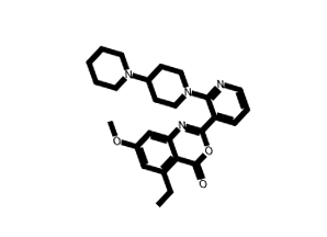 CCc1cc(OC)cc2nc(-c3cccnc3N3CCC(N4CCCCC4)CC3)oc(=O)c12